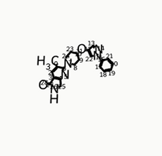 Cc1cc2c(nc1N1CCC(Oc3cnn(-c4ccccc4)c3)CC1)CNC2=O